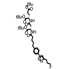 CC(C)(C)OC(=O)CC[C@H](NC(=O)C[C@H](NC(=O)CCCCc1ccc(-n2cc(CCCF)nn2)cc1)C(=O)OC(C)(C)C)C(=O)OC(C)(C)C